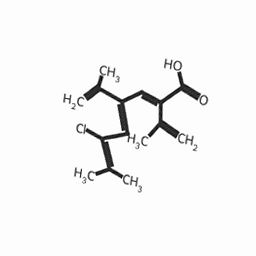 C=C(C)C(=C\C(Cl)=C(C)C)/C=C(\C(=C)C)C(=O)O